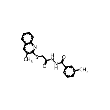 Cc1cccc(C(=O)NNC(=O)CSc2nc3ccccc3cc2C)c1